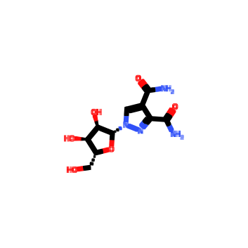 NC(=O)c1cn([C@@H]2O[C@H](CO)[C@@H](O)[C@H]2O)nc1C(N)=O